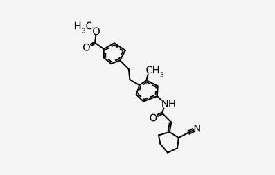 COC(=O)c1ccc(CCc2ccc(NC(=O)C=C3CCCCC3C#N)cc2C)cc1